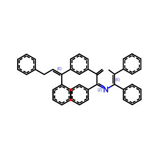 C=C(/C(=N\C(=C(/C)c1ccccc1)c1ccccc1)c1ccccc1)c1cccc(/C(=C/Cc2ccccc2)c2ccccc2)c1